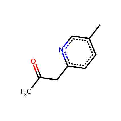 Cc1ccc(CC(=O)C(F)(F)F)nc1